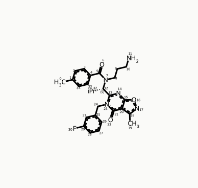 Cc1ccc(C(=O)N(CCCN)[C@H](c2nc3onc(C)c3c(=O)n2Cc2cccc(F)c2)C(C)C)cc1